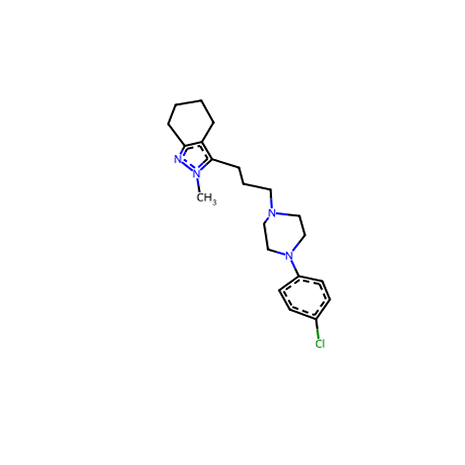 Cn1nc2c(c1CCCN1CCN(c3ccc(Cl)cc3)CC1)CCCC2